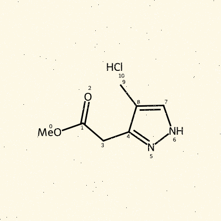 COC(=O)Cc1n[nH]cc1C.Cl